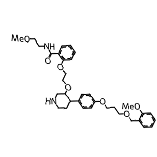 COCCNC(=O)c1ccccc1OCCOC1CNCCC1c1ccc(OCCCOCc2ccccc2OC)cc1